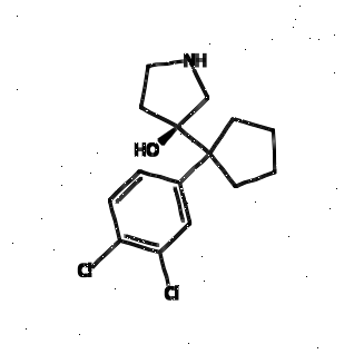 O[C@@]1(C2(c3ccc(Cl)c(Cl)c3)CCCC2)CCNC1